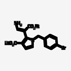 CCOC(=O)/C(=C\N)c1c(C(=O)OCC)ccn1Cc1ccc(Br)cc1